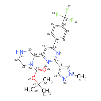 Cn1cc(-c2nc(-c3ccc(C(F)(F)F)cc3)cc(C3CNCCN3C(=O)OC(C)(C)C)n2)cn1